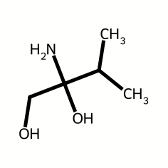 CC(C)C(N)(O)CO